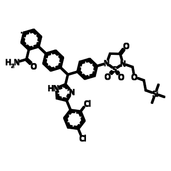 C[Si](C)(C)CCOCN1C(=O)CN(c2ccc(C(c3ccc(-c4cc[c]cc4C(N)=O)cc3)c3nc(-c4ccc(Cl)cc4Cl)c[nH]3)cc2)S1(=O)=O